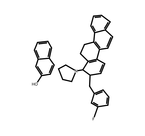 Fc1cccc(CC2C=CC3=C(CCc4c3ccc3ccccc43)C2N2CCCC2)c1.Oc1ccc2ccccc2c1